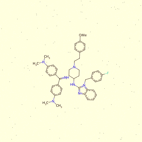 CN(C)c1ccc(C(=N)c2ccc(N(C)C)cc2)cc1.COc1ccc(CCN2CCC(Nc3nc4ccccc4n3Cc3ccc(F)cc3)CC2)cc1